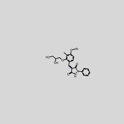 CCCOc1ccc(/C=C2/C(=O)NN(c3ccccc3)C2=O)c(OCC(O)CO)c1C